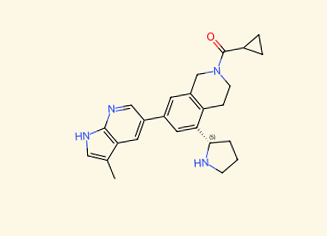 Cc1c[nH]c2ncc(-c3cc4c(c([C@@H]5CCCN5)c3)CCN(C(=O)C3CC3)C4)cc12